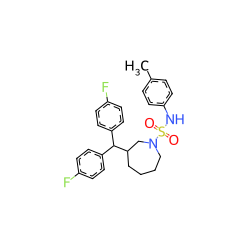 Cc1ccc(NS(=O)(=O)N2CCCCC(C(c3ccc(F)cc3)c3ccc(F)cc3)C2)cc1